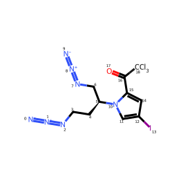 [N-]=[N+]=NCC[C@@H](CN=[N+]=[N-])n1cc(I)cc1C(=O)C(Cl)(Cl)Cl